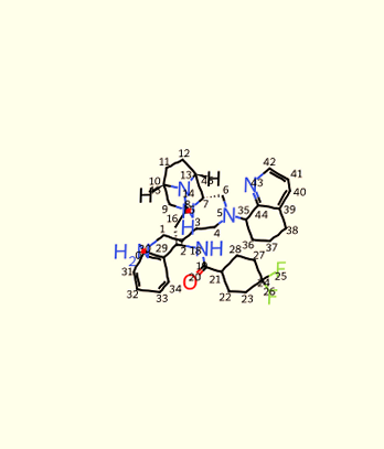 NCCCCN(C[C@@H]1NC[C@@H]2CC[C@H]1N2CC[C@H](NC(=O)C1CCC(F)(F)CC1)c1ccccc1)C1CCCc2cccnc21